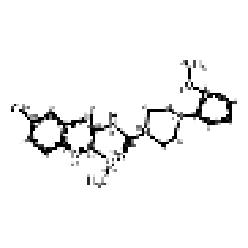 COc1ccccc1N1CCN(C(=O)Nc2nc3cc(Cl)ccc3nc2OC)CC1